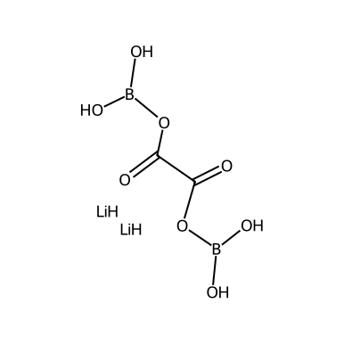 O=C(OB(O)O)C(=O)OB(O)O.[LiH].[LiH]